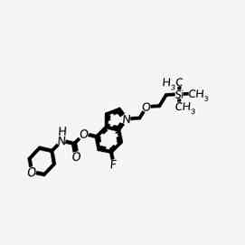 C[Si](C)(C)CCOCn1ccc2c(OC(=O)NC3CCOCC3)cc(F)cc21